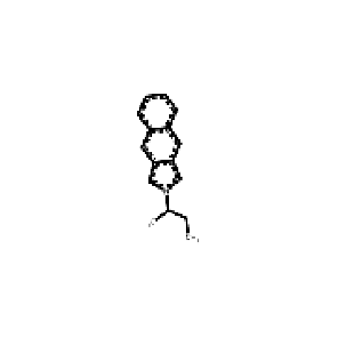 CCC(C)n1cc2cc3ccccc3cc2c1